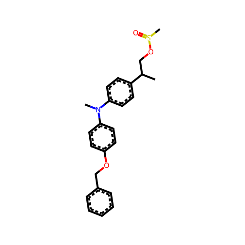 CC(COS(C)=O)c1ccc(N(C)c2ccc(OCc3ccccc3)cc2)cc1